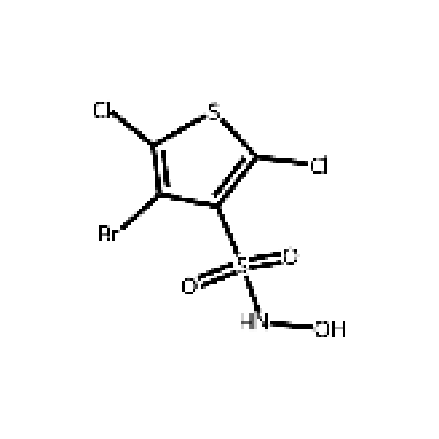 O=S(=O)(NO)c1c(Cl)sc(Cl)c1Br